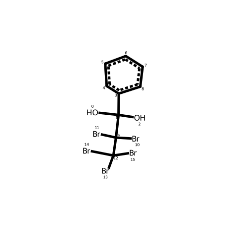 OC(O)(c1ccccc1)C(Br)(Br)C(Br)(Br)Br